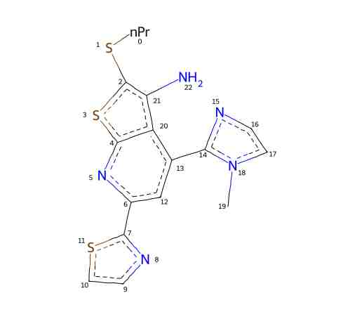 CCCSc1sc2nc(-c3nccs3)cc(-c3nccn3C)c2c1N